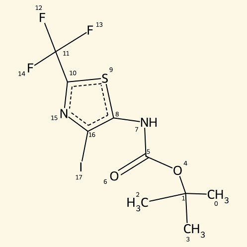 CC(C)(C)OC(=O)Nc1sc(C(F)(F)F)nc1I